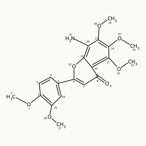 COc1ccc(-c2cc(=O)c3c(OC)c(OC)c(OC)c(N)c3o2)cc1OC